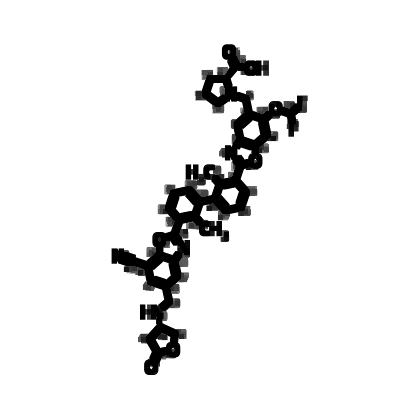 Cc1c(-c2nc3cc(CN4CCC[C@H]4C(=O)O)c(OC(F)F)cc3o2)cccc1-c1cccc(-c2nc3cc(CN[C@@H]4COC(=O)C4)cc(C#N)c3o2)c1C